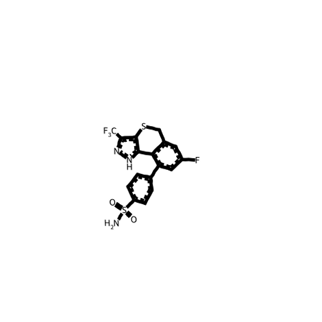 NS(=O)(=O)c1ccc(-c2cc(F)cc3c2-c2[nH]nc(C(F)(F)F)c2SC3)cc1